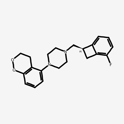 Fc1cccc2c1C[C@H]2CN1CCN(c2cccc3c2CCOO3)CC1